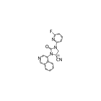 N#C[C@@H]1CN(c2cccc(F)n2)C(=O)N1c1cncc2ccccc12